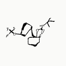 CC(C)(C)NC(=O)OC1(c2cccc(OC(F)(F)F)c2)CCCCC1=O